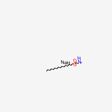 CCCCCCCCCCCCCCCCOC(=O)CNC.[NaH]